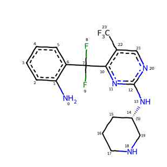 Nc1ccccc1C(F)(F)c1nc(N[C@H]2CCCNC2)ncc1C(F)(F)F